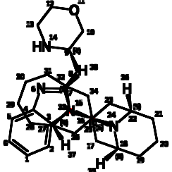 c1ccc2c(c1)nc(C[C@@H]1COCCN1)n2[C@@H]1C[C@H]2CCC[C@@H](C1)N2[C@H]1C[C@@H]2CCCC[C@@H](C2)C1